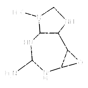 CN1CNC2C3OC3NC(N)NC21